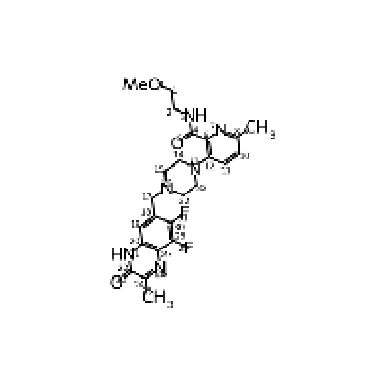 COCCNC(=O)c1nc(C)ccc1N1CCN(Cc2cc3[nH]c(=O)c(C)nc3c(F)c2F)CC1